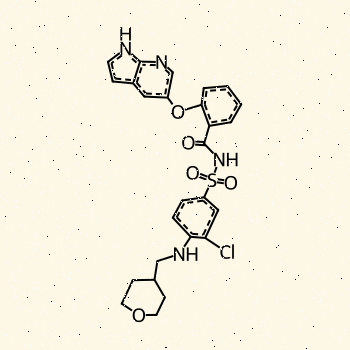 O=C(NS(=O)(=O)c1ccc(NCC2CCOCC2)c(Cl)c1)c1ccccc1Oc1cnc2[nH]ccc2c1